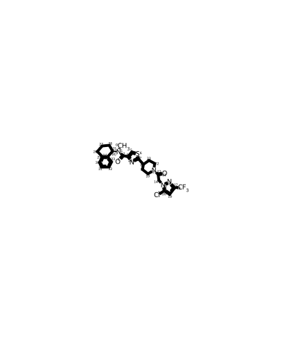 CN(C(=O)c1csc(C2CCN(C(=O)Cn3nc(C(F)(F)F)cc3Cl)CC2)n1)[C@@H]1CCCc2ccccc21